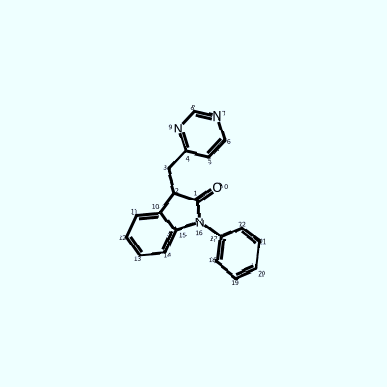 O=C1C(Cc2ccncn2)c2ccccc2N1c1ccccc1